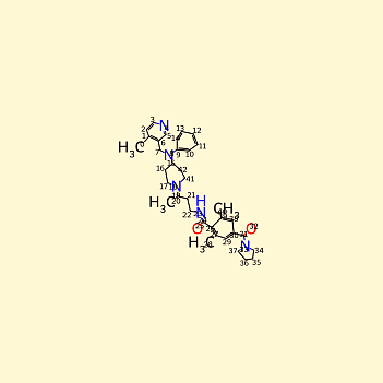 Cc1ccncc1CN(c1ccccc1)C1CCN(C(C)CCNC(=O)c2c(C)cc(C(=O)N3CCCC3)cc2C)CC1